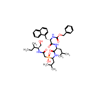 CCC(C)[C@@H](CO)NC(=O)CP(=O)(O)C(CC(C)C)NC(=O)[C@H](CC(C)C)NC(=O)[C@H](Cc1cccc2ccccc12)NC(=O)OCc1ccccc1